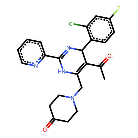 CC(=O)C1=C(CN2CCC(=O)CC2)NC(c2ccccn2)=NC1c1ccc(F)cc1Cl